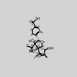 CC(=O)C(O)[C@H]1O[C@@H](C2=NC=C(C(=O)O)CC2)[C@@](O)(C(C)=O)[C@@]1(O)C(C)=O